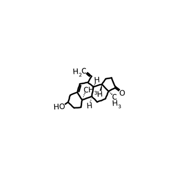 C=CC1C=C2CC(O)CC[C@]2(C)[C@@H]2CC[C@]3(C)C(=O)CC[C@H]3[C@H]12